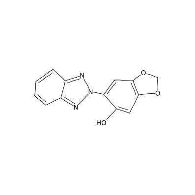 Oc1cc2c(cc1-n1nc3ccccc3n1)OCO2